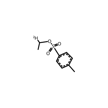 [2H]C(C)OS(=O)(=O)c1ccc(C)cc1